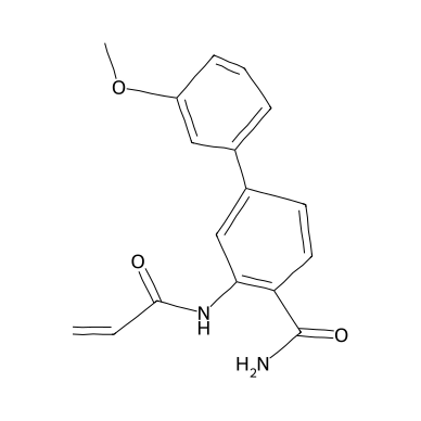 C=CC(=O)Nc1cc(-c2cccc(OC)c2)ccc1C(N)=O